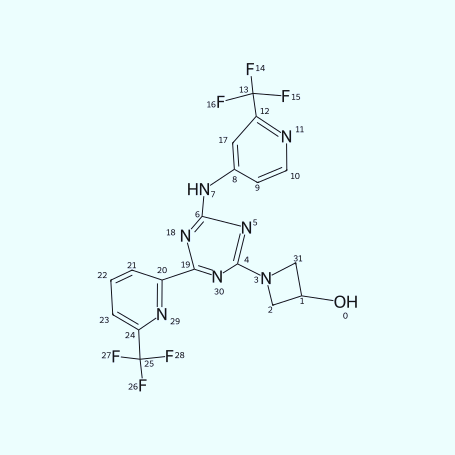 OC1CN(c2nc(Nc3ccnc(C(F)(F)F)c3)nc(-c3cccc(C(F)(F)F)n3)n2)C1